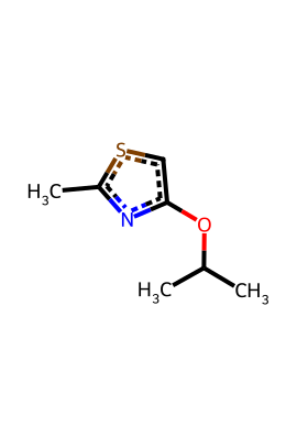 Cc1nc(OC(C)C)cs1